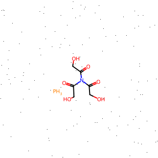 O=C(CO)N(C(=O)CO)C(=O)CO.P